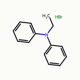 Br.CCN(c1ccccc1)c1ccccc1